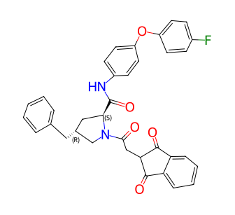 O=C1c2ccccc2C(=O)C1CC(=O)N1C[C@H](Cc2ccccc2)C[C@H]1C(=O)Nc1ccc(Oc2ccc(F)cc2)cc1